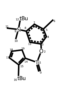 [CH2]=[Ti]([O]c1cc(C)cc([Si](C)(C)C(C)(C)C)c1)[C]1=C(C(C)(C)C)C=CC1